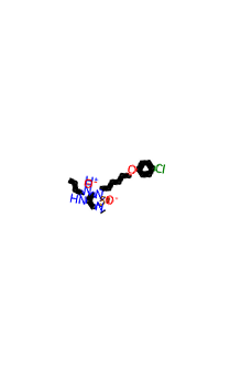 CCCC1NC2=C(N(CCCCCCOc3ccc(Cl)cc3)[S+]([O-])N(C)C2)[NH+]1[O-]